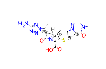 C[C@H]([C@H]1C(=O)N2C(C(=O)O)=C(S[C@@H]3CN[C@H](C(=O)N(C)C)C3)[C@H](C)[C@H]12)n1nnc(N)n1